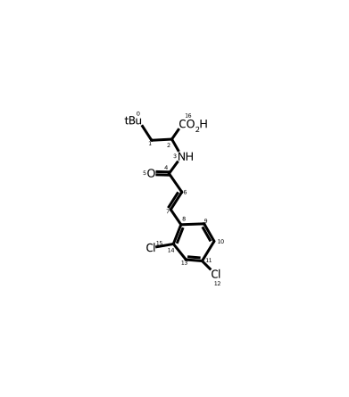 CC(C)(C)CC(NC(=O)/C=C/c1ccc(Cl)cc1Cl)C(=O)O